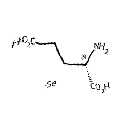 N[C@@H](CCC(=O)O)C(=O)O.[Se]